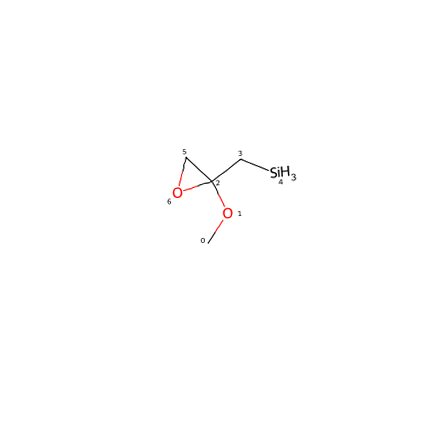 COC1(C[SiH3])CO1